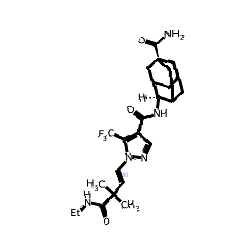 CCNC(=O)C(C)(C)/C=C/n1ncc(C(=O)N[C@H]2C3CC4CC2C[C@@](C(N)=O)(C4)C3)c1C(F)(F)F